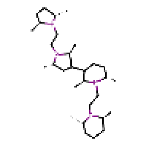 C[C@H]1CCC[C@H](C)P1CCP1[C@@H](C)CCC(C2C[C@H](C)P(CCP3[C@@H](C)CC[C@@H]3C)[C@H]2C)[C@@H]1C